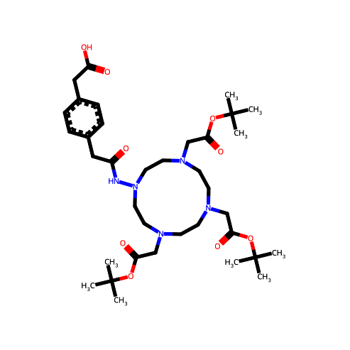 CC(C)(C)OC(=O)CN1CCN(CC(=O)OC(C)(C)C)CCN(NC(=O)Cc2ccc(CC(=O)O)cc2)CCN(CC(=O)OC(C)(C)C)CC1